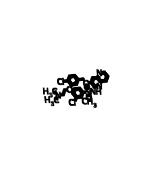 Cc1c(Cl)cccc1S(=O)(=O)Nc1nc2cccnc2cc1OCc1ccc(Cl)c(OCCN(C)C)c1